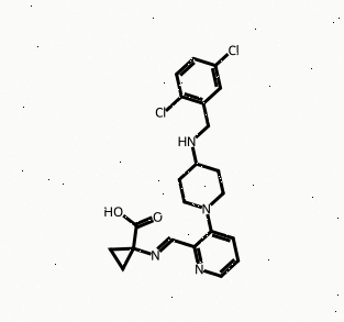 O=C(O)C1(N=Cc2ncccc2N2CCC(NCc3cc(Cl)ccc3Cl)CC2)CC1